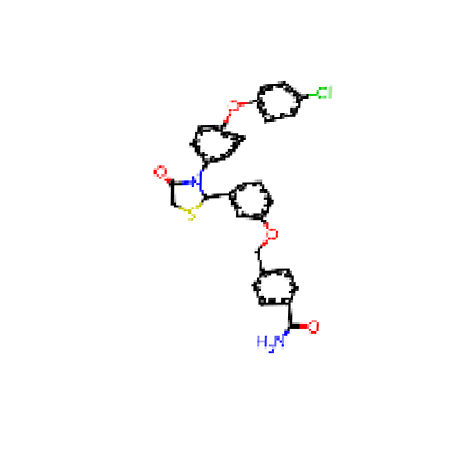 NC(=O)c1ccc(COc2cccc(C3SCC(=O)N3c3ccc(Oc4ccc(Cl)cc4)cc3)c2)cc1